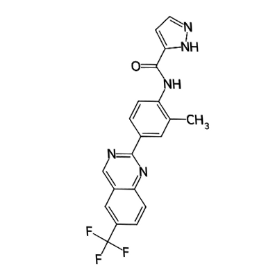 Cc1cc(-c2ncc3cc(C(F)(F)F)ccc3n2)ccc1NC(=O)c1ccn[nH]1